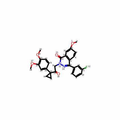 COc1ccc2c(-c3cccc(F)c3)nn(CC(=O)C3(c4ccc(OC)c(OC)c4)CC3)c(=O)c2c1